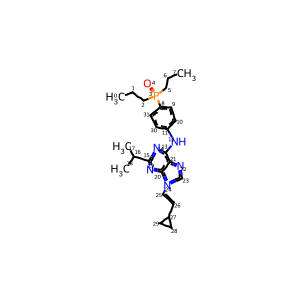 CCCP(=O)(CCC)c1ccc(Nc2nc(C(C)C)nc3c2ncn3/C=C/C2CC2)cc1